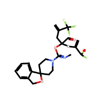 C=C(CC(C=O)(CC(=C)C(F)(F)F)O/C(=N\C)N1CCC2(CC1)OCc1ccccc12)C(F)(F)F